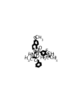 COc1ccc2c(c1)CCN(C(=O)N[C@H](C)C(=O)OCc1ccccc1)[C@H]2C(=O)Nc1cc(F)c(S(C)(C)C)c(F)c1